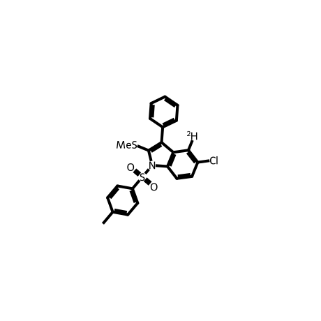 [2H]c1c(Cl)ccc2c1c(-c1ccccc1)c(SC)n2S(=O)(=O)c1ccc(C)cc1